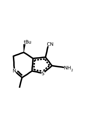 CC1=NC[C@@H](C(C)(C)C)c2c1sc(N)c2C#N